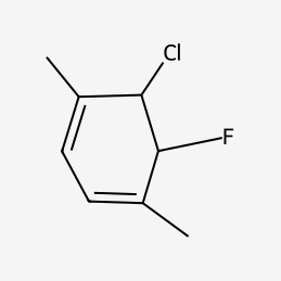 CC1=CC=C(C)C(Cl)C1F